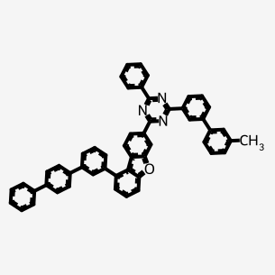 Cc1cccc(-c2cccc(-c3nc(-c4ccccc4)nc(-c4ccc5c(c4)oc4cccc(-c6cccc(-c7ccc(-c8ccccc8)cc7)c6)c45)n3)c2)c1